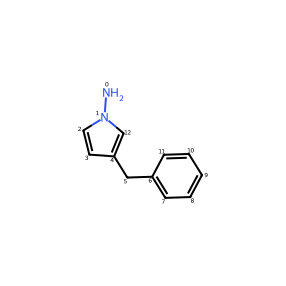 Nn1ccc(Cc2ccccc2)c1